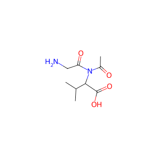 CC(=O)N(C(=O)CN)C(C(=O)O)C(C)C